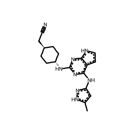 Cc1cc(Nc2nc(N[C@H]3CC[C@H](CC#N)CC3)nc3[nH]ccc23)n[nH]1